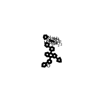 BC(B)(B)C(B)(B)c1nc2ccccc2n1-c1cccc(-c2cccc(-c3c4ccccc4c(-c4ccc5oc6ccccc6c5c4)c4cc(-c5ccccc5)ccc34)c2)c1